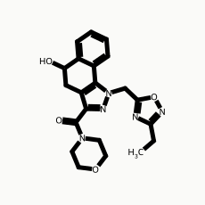 CCc1noc(Cn2nc(C(=O)N3CCOCC3)c3c2-c2ccccc2C(O)C3)n1